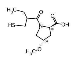 CCC(CS)C(=O)N1C[C@@H](OC)C[C@@H]1C(=O)O